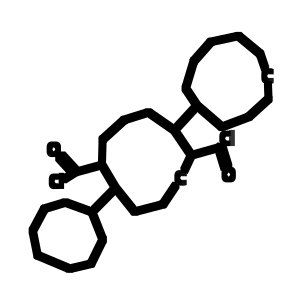 O=C(Cl)C1CCCC(C2CCCCCCC2)C(C(=O)Cl)CCCC1C1CCCCCCCCC1